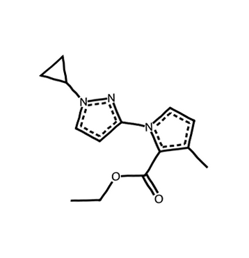 CCOC(=O)c1c(C)ccn1-c1ccn(C2CC2)n1